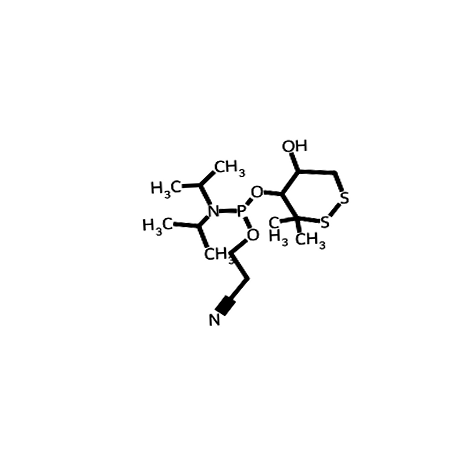 CC(C)N(C(C)C)P(OCCC#N)OC1C(O)CSSC1(C)C